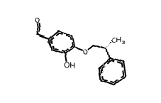 C[C@@H](COc1ccc(C=O)cc1O)c1ccccc1